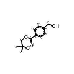 CC1(C)COC(c2ccc(CO)cc2)=NO1